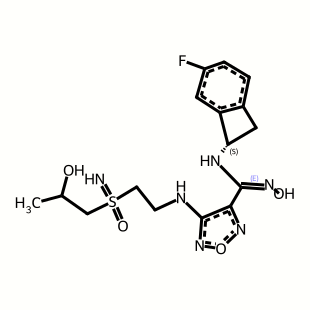 CC(O)CS(=N)(=O)CCNc1nonc1/C(=N\O)N[C@H]1Cc2ccc(F)cc21